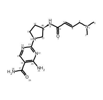 CN(C)CC=CC(=O)N[C@@H]1CCN(c2ncc(C(N)=O)c(N)n2)C1